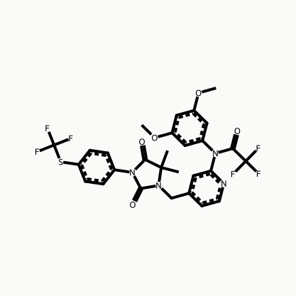 COc1cc(OC)cc(N(C(=O)C(F)(F)F)c2cc(CN3C(=O)N(c4ccc(SC(F)(F)F)cc4)C(=O)C3(C)C)ccn2)c1